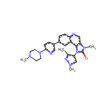 Cc1nn(C)cc1-n1c(=O)n(C)c2cnc3ccc(-c4ccc(N5CCN(C)CC5)nc4)cc3c21